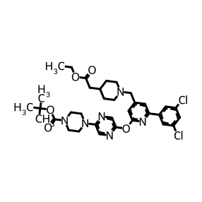 CCOC(=O)CC1CCN(Cc2cc(Oc3cnc(N4CCN(C(=O)OC(C)(C)C)CC4)cn3)nc(-c3cc(Cl)cc(Cl)c3)c2)CC1